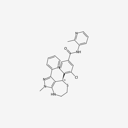 Cc1ncccc1NC(=O)c1ccc([C@H]2SCCNc3c2c(-c2ccccn2)nn3C)c(Cl)c1